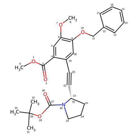 COC(=O)c1cc(OC)c(OCc2ccccc2)cc1C#C[C@@H]1CCCN1C(=O)OC(C)(C)C